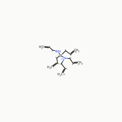 C=CCN[Si](CC=C)(CC=C)N(CC=C)CC=C